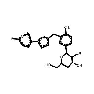 Cc1ccc(C2OC(CO)C[C@H](O)C2O)cc1Cc1ccc(-c2ccc(F)cc2)s1